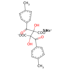 Cc1ccc(C(=O)C(O)(C(=O)[O-])C(O)(C(=O)[O-])C(=O)c2ccc(C)cc2)cc1.[Na+].[Na+]